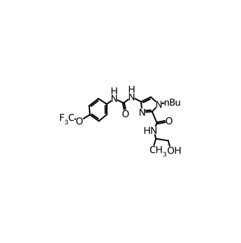 CCCCn1cc(NC(=O)Nc2ccc(OC(F)(F)F)cc2)nc1C(=O)NC(C)CO